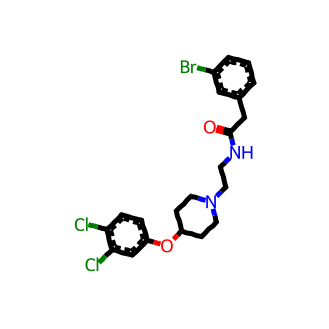 O=C(Cc1cccc(Br)c1)NCCN1CCC(Oc2ccc(Cl)c(Cl)c2)CC1